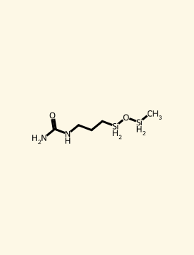 C[SiH2]O[SiH2]CCCNC(N)=O